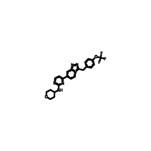 FC(F)(F)Oc1ccc(Cc2nnc3cc(-c4ccnc(NC5CCOCC5)n4)ccn23)cc1